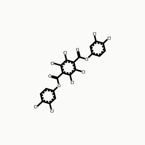 O=C(Oc1ccc(Cl)c(Cl)c1)c1c(Cl)c(Cl)c(C(=O)Oc2ccc(Cl)c(Cl)c2)c(Cl)c1Cl